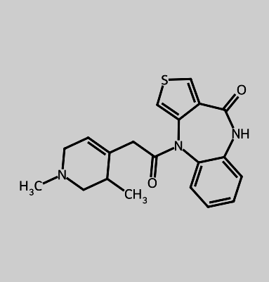 CC1CN(C)CC=C1CC(=O)N1c2ccccc2NC(=O)c2cscc21